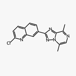 Cc1ncc(C)n2nc(-c3ccc4ccc(Cl)nc4c3)nc12